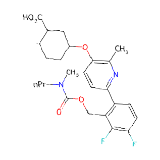 CCCN(C)C(=O)OCc1c(-c2ccc(OC3CC[CH]C(C(=O)O)C3)c(C)n2)ccc(F)c1F